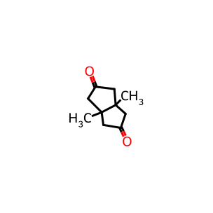 CC12CC(=O)CC1(C)CC(=O)C2